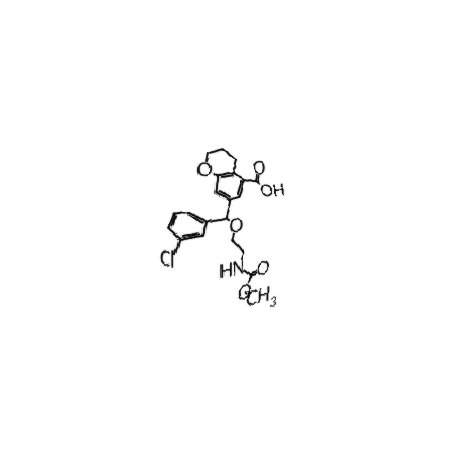 COC(=O)NCCOC(c1cccc(Cl)c1)c1cc2c(c(C(=O)O)c1)CCCO2